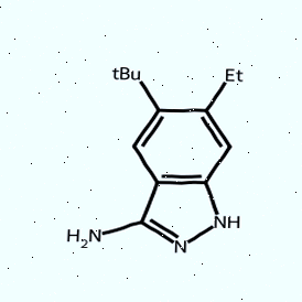 CCc1cc2[nH]nc(N)c2cc1C(C)(C)C